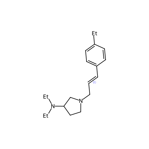 CCc1ccc(/C=C/CN2CCC(N(CC)CC)C2)cc1